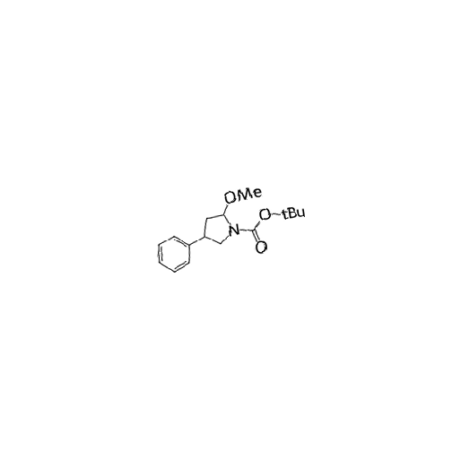 COC1CC(c2ccccc2)CN1C(=O)OC(C)(C)C